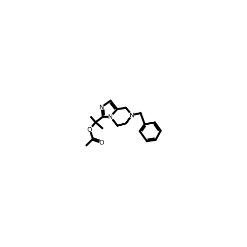 CC(=O)OC(C)(C)c1ncc2n1CCN(Cc1ccccc1)C2